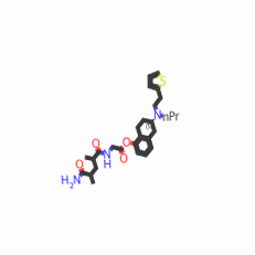 CCCN(CCc1cccs1)[C@H]1CCc2c(cccc2OC(=O)CNC(=O)C(C)CC(C)C(N)=O)C1